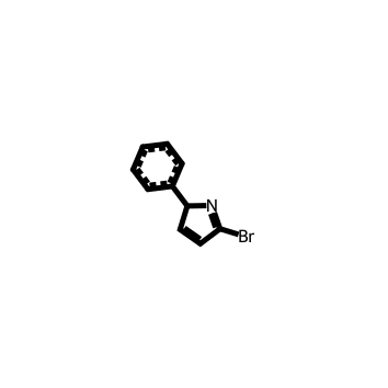 BrC1=NC(c2ccccc2)C=C1